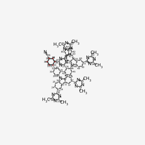 Cc1nc(C)nc(-c2ccc3c(c2)c2cc(-c4nc(C)nc(C)n4)ccc2n3-c2ccc(-c3ccc(C#N)cc3)cc2-c2cccc(-n3c4ccc(-c5nc(C)nc(C)n5)cc4c4cc(-c5nc(C)nc(C)n5)ccc43)c2-c2nc(-c3ccccc3)nc(-c3ccccc3)n2)n1